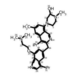 Cc1cc(N2CCN(C)C(O)C2)c2cnc(Cc3cc(OCCN(C)C)c4cncc(C(C)C)c4c3)c(C(C)C)c2c1